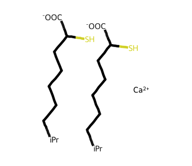 CC(C)CCCCCC(S)C(=O)[O-].CC(C)CCCCCC(S)C(=O)[O-].[Ca+2]